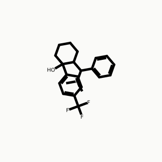 CN(C)C(c1ccccc1)C1CCCCC1(O)c1ccc(C(F)(F)F)cc1